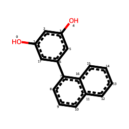 Oc1cc(O)cc(-c2cccc3ccccc23)c1